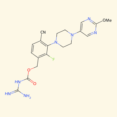 COc1ncc(N2CCN(c3c(C#N)ccc(COC(=O)NC(=N)N)c3F)CC2)cn1